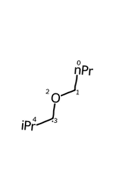 CCCCO[CH]C(C)C